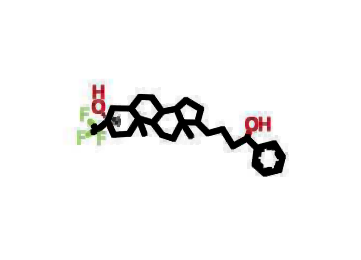 CC12CCC3C(CCC4C[C@](O)(C(F)(F)F)CCC43C)C1CCC2CCCC(O)c1ccccc1